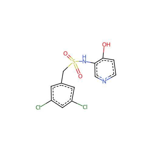 O=S(=O)(Cc1cc(Cl)cc(Cl)c1)Nc1cnccc1O